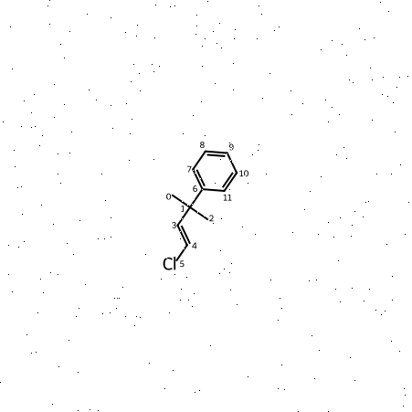 CC(C)(C=CCl)c1ccccc1